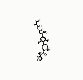 O=C(Nc1ccon1)N1CCN(c2c(F)cc(N3C[C@H](CNC(=S)C(F)F)OC3=O)cc2F)CCN1